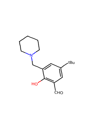 CC(C)(C)c1cc(C=O)c(O)c(CN2CCCCC2)c1